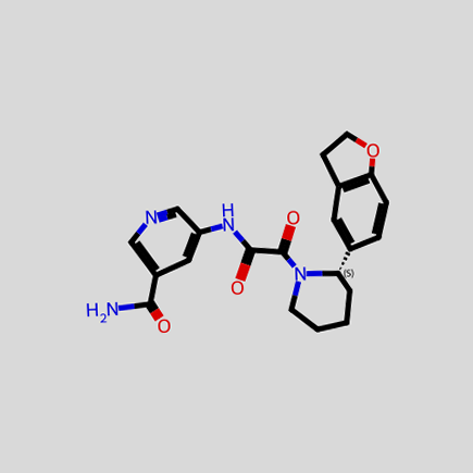 NC(=O)c1cncc(NC(=O)C(=O)N2CCCC[C@H]2c2ccc3c(c2)CCO3)c1